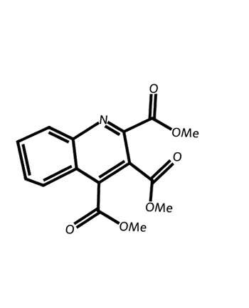 COC(=O)c1nc2ccccc2c(C(=O)OC)c1C(=O)OC